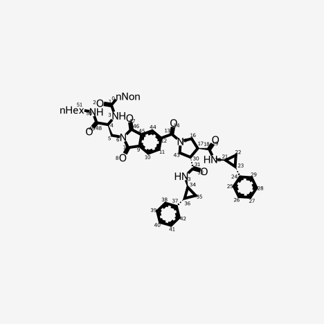 CCCCCCCCCC(=O)N[C@@H](CN1C(=O)c2ccc(C(=O)N3C[C@@H](C(=O)N[C@H]4C[C@@H]4c4ccccc4)[C@H](C(=O)N[C@H]4C[C@@H]4c4ccccc4)C3)cc2C1=O)C(=O)NCCCCCC